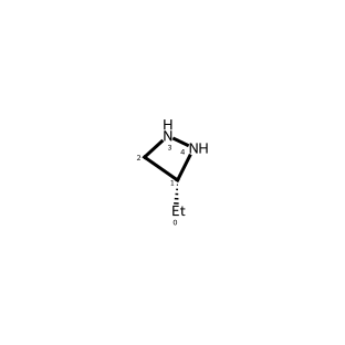 CC[C@@H]1CNN1